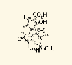 CN1CC(C2=C(c3cccs3)C(c3cc(O)c(C(=O)O)c(F)c3)CC(=O)N2)C=N1